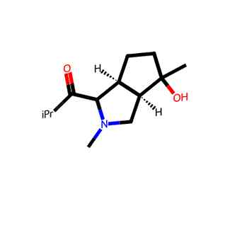 CC(C)C(=O)C1[C@H]2CCC(C)(O)[C@H]2CN1C